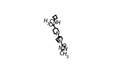 Cc1noc(N2CC3CCC2CC3N2CCC(C(=O)NC3(C)CCC3)CC2)n1